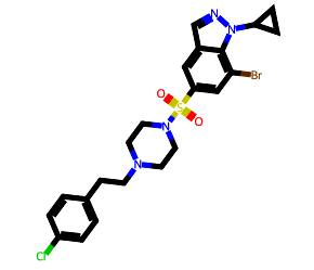 O=S(=O)(c1cc(Br)c2c(cnn2C2CC2)c1)N1CCN(CCc2ccc(Cl)cc2)CC1